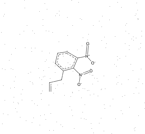 C=CCc1cc[c]c([N+](=O)[O-])c1[N+](=O)[O-]